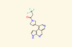 O=C(CC(F)(F)F)N1CC=C(c2cncc3cnc4[nH]ccc4c23)C1